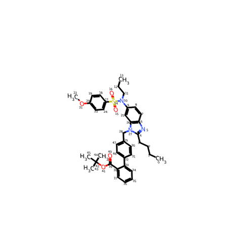 CCCCc1nc2ccc(N(CCC)S(=O)(=O)c3ccc(OC)cc3)cc2n1Cc1ccc(-c2ccccc2C(=O)OC(C)(C)C)cc1